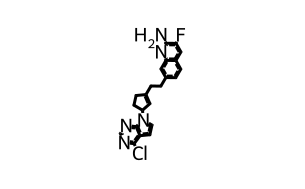 Nc1nc2cc(CCC3=CC(n4ccc5c(Cl)ncnc54)CC3)ccc2cc1F